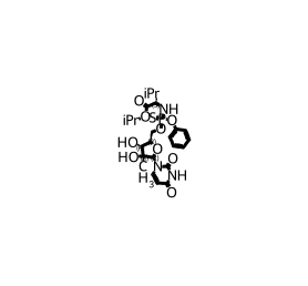 CC(C)OC(=O)[C@@H](NP(=S)(OC[C@H]1O[C@@H](n2ccc(=O)[nH]c2=O)[C@](C)(O)[C@@H]1O)Oc1ccccc1)C(C)C